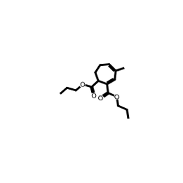 CCCOC(=O)C1=CC(C)=CCCC1C(=O)OCCC